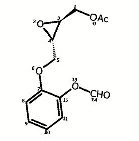 CC(=O)OC[C@@H]1O[C@H]1COc1ccccc1OC=O